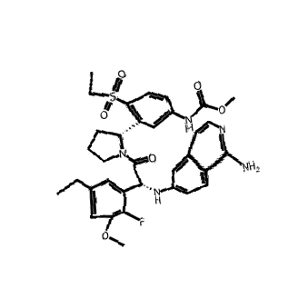 CCc1cc(OC)c(F)c([C@@H](Nc2ccc3c(N)nccc3c2)C(=O)N2CCC[C@@H]2c2cc(NC(=O)OC)ccc2S(=O)(=O)CC)c1